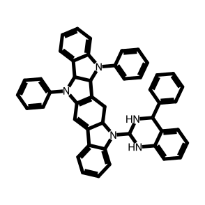 C1=C2c3ccccc3N(C3Nc4ccccc4C(c4ccccc4)N3)C2CC2=C1N(c1ccccc1)C1c3ccccc3N(c3ccccc3)C21